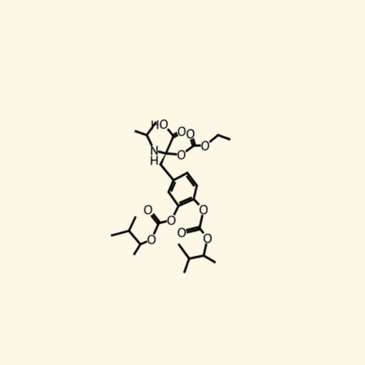 CCOC(=O)O[C@](Cc1ccc(OC(=O)OC(C)C(C)C)c(OC(=O)OC(C)C(C)C)c1)(NC(C)C)C(=O)O